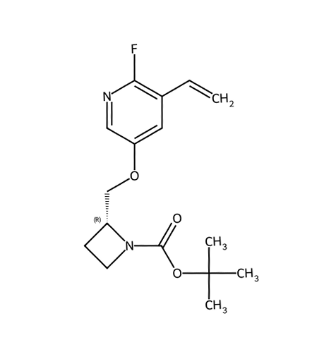 C=Cc1cc(OC[C@H]2CCN2C(=O)OC(C)(C)C)cnc1F